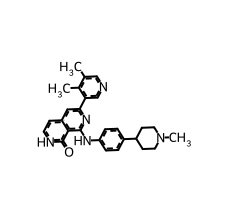 Cc1cncc(-c2cc3cc[nH]c(=O)c3c(Nc3ccc(C4CCN(C)CC4)cc3)n2)c1C